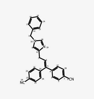 N#Cc1ccc(C(=CCc2cn(Cc3ccccc3)cn2)c2ccc(C#N)cc2)cc1